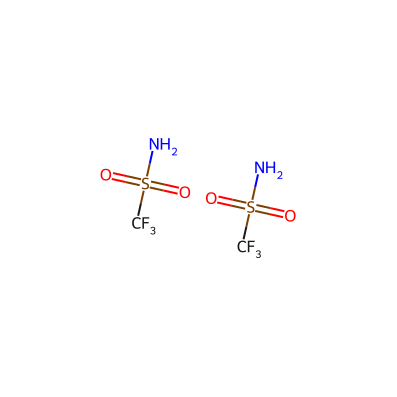 NS(=O)(=O)C(F)(F)F.NS(=O)(=O)C(F)(F)F